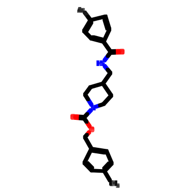 CC(=O)c1ccc(C(=O)NCC2CCN(C(=O)OCc3ccc(C)cc3)CC2)cc1